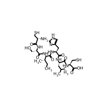 CC[C@H](C)[C@H](NC(=O)[C@H](CO)NC(=O)[C@@H](N)CS)C(=O)N[C@@H](Cc1c[nH]cn1)C(=O)N[C@@H](CC(C)C)C(=O)N[C@@H](CS)C(=O)O